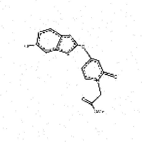 COC(=O)Cn1ccc(Oc2nc3ccc(Cl)cc3s2)cc1=O